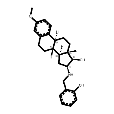 COc1ccc2c(c1)CC[C@@H]1[C@@H]2CC[C@]2(C)[C@@H](O)[C@@H](NCc3ccccc3O)C[C@@H]12